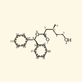 C[C@@H](CCO)CC(=O)OC(c1ccccc1)c1ccccc1